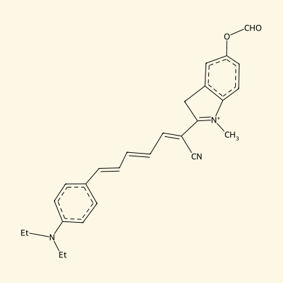 CCN(CC)c1ccc(/C=C/C=C/C=C(\C#N)C2=[N+](C)c3ccc(OC=O)cc3C2)cc1